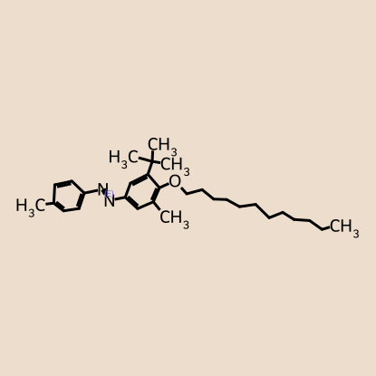 CCCCCCCCCCCCOc1c(C)cc(/N=N/c2ccc(C)cc2)cc1C(C)(C)C